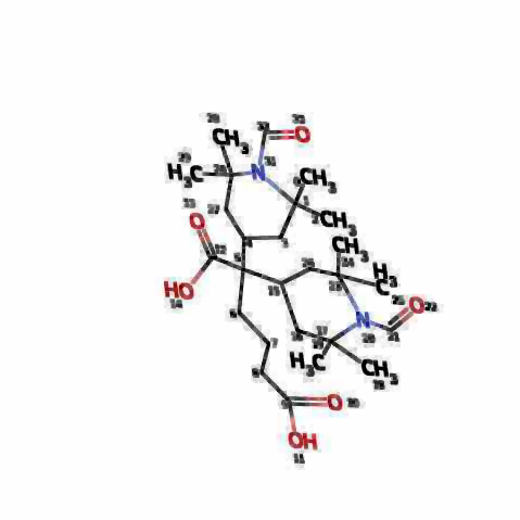 CC1(C)CC(C(CCCC(=O)O)(C(=O)O)C2CC(C)(C)N(C=O)C(C)(C)C2)CC(C)(C)N1C=O